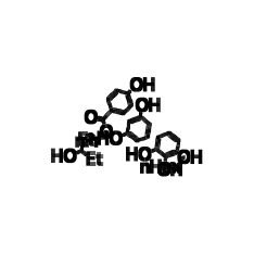 CCC(O)CC.CCCCCCO.CCCOC(=O)c1ccc(O)cc1.Oc1cccc(O)c1.Oc1ccccc1O